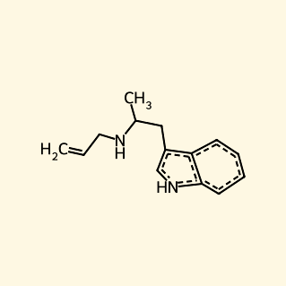 C=CCNC(C)Cc1c[nH]c2ccccc12